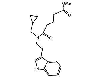 COC(=O)CCCC(=O)N(CCc1c[nH]c2ccccc12)CC1CC1